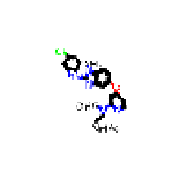 CC(=O)NCCN(C=O)c1cc(Oc2ccc3c(c2)nc(Nc2ccc(Cl)cc2)n3C)ccn1